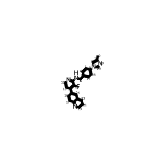 Cc1cn(-c2ccc(CNc3nccc(-c4ccc5ncccc5c4)c3F)cc2)cn1